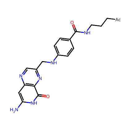 CC(=O)CCCNC(=O)c1ccc(NCc2cnc3cc(N)[nH]c(=O)c3n2)cc1